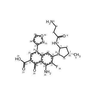 C[C@H]1CC(NC(=O)CCN)N(c2cc3c(c(N)c2F)c(=O)c(C(=O)O)cn3-c2ccon2)C1